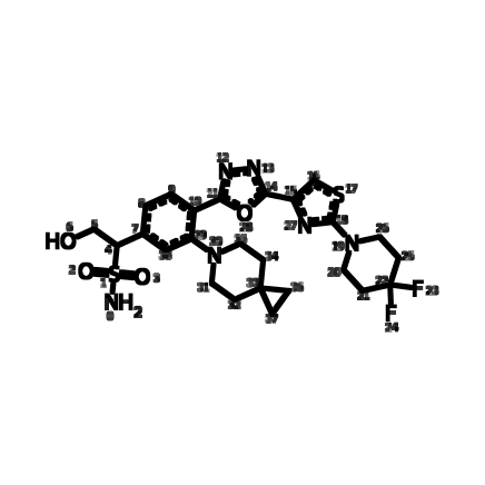 NS(=O)(=O)C(CO)c1ccc(-c2nnc(-c3csc(N4CCC(F)(F)CC4)n3)o2)c(N2CCC3(CC2)CC3)c1